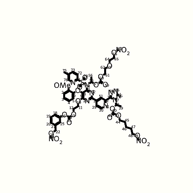 COc1ccccc1Oc1c(OCCOC(=O)Oc2cccc(CO[N+](=O)[O-])c2)nc(-c2ccnc(-c3nnnn3C(C)OC(=O)OCCCCCO[N+](=O)[O-])c2)nc1N(C(C)OC(=O)OCCOCCO[N+](=O)[O-])S(=O)(=O)c1ccc(C)cn1